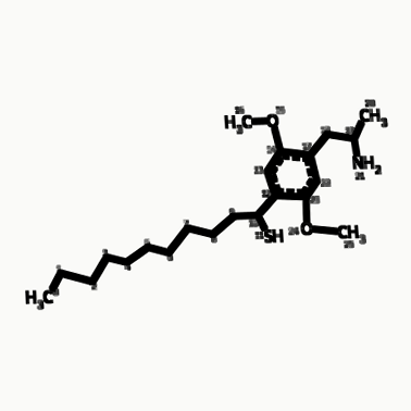 CCCCCCCCCCC(S)c1cc(OC)c(CC(C)N)cc1OC